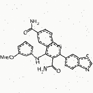 COc1cccc(Nc2c(C(N)=O)c(-c3ccc4ncsc4c3)nc3ccc(C(N)=O)cc23)c1